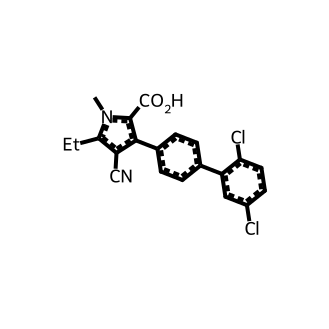 CCc1c(C#N)c(-c2ccc(-c3cc(Cl)ccc3Cl)cc2)c(C(=O)O)n1C